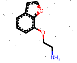 NCCOc1cccc2ccoc12